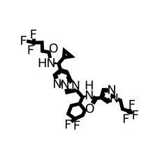 O=C(CCC(F)(F)F)N[C@H](c1cnn2cc([C@@H](NC(=O)c3cnn(CCC(F)(F)F)c3)C3CCC(F)(F)CC3)nc2c1)C1CC1